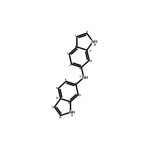 c1cc2ccc(Nc3ccc4cc[nH]c4c3)cc2[nH]1